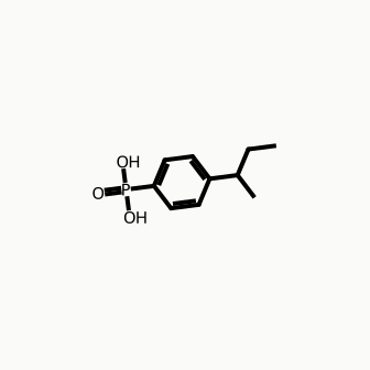 CCC(C)c1ccc(P(=O)(O)O)cc1